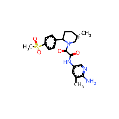 Cc1cc(NC(=O)C(=O)N2C[C@@H](C)CCC2c2ccc(S(C)(=O)=O)cc2)cnc1N